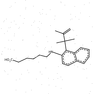 C=C(C)C(C)(C)c1c(NCCCCCC(=O)O)ccc2ccccc12